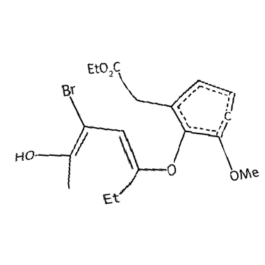 CCOC(=O)Cc1cccc(OC)c1OC(=C/C(Br)=C(\C)O)CC